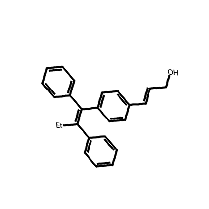 CC/C(=C(\c1ccccc1)c1ccc(/C=C/CO)cc1)c1ccccc1